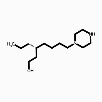 CCC[C@@H](CCO)CCCCN1CCNCC1